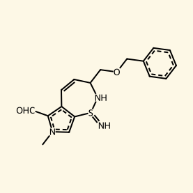 Cn1cc2c(c1C=O)C=CC(COCc1ccccc1)NS2=N